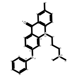 Cc1ccc2c(c1)c(=O)c1ccc(Sc3ccccc3)cc1n2CCCN(C)C